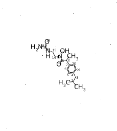 CC(C)Cc1ccc(C(C)C(=O)N(O)CCNC(N)=O)cc1